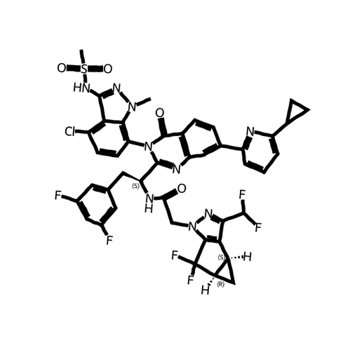 Cn1nc(NS(C)(=O)=O)c2c(Cl)ccc(-n3c([C@H](Cc4cc(F)cc(F)c4)NC(=O)Cn4nc(C(F)F)c5c4C(F)(F)[C@@H]4C[C@H]54)nc4cc(-c5cccc(C6CC6)n5)ccc4c3=O)c21